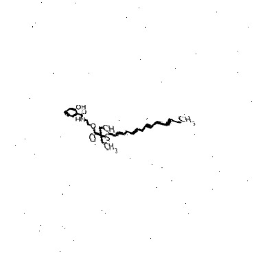 CCC=CCC=CCC=CCC=CCCSC(CC)(CC)C(=O)OCCNC(=O)c1ccccc1O